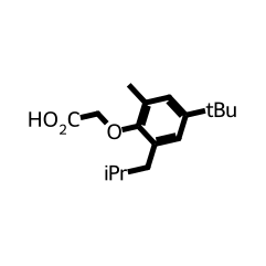 Cc1cc(C(C)(C)C)cc(CC(C)C)c1OCC(=O)O